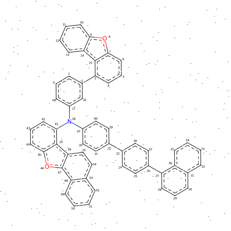 c1cc(-c2cccc3oc4ccccc4c23)cc(N(c2ccc(-c3ccc(-c4cccc5ccccc45)cc3)cc2)c2cccc3oc4c5ccccc5ccc4c23)c1